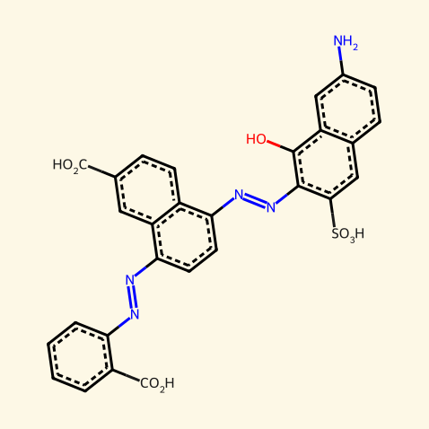 Nc1ccc2cc(S(=O)(=O)O)c(/N=N/c3ccc(/N=N/c4ccccc4C(=O)O)c4cc(C(=O)O)ccc34)c(O)c2c1